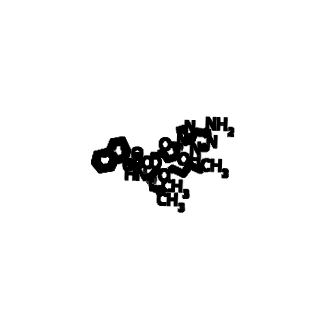 CCCCCOC(=O)[C@H](CC(C)C)NP(=O)(OC[C@@H]1CC(O)[C@H](n2cnc3c(N)ncnc32)O1)Oc1cccc2ccccc12